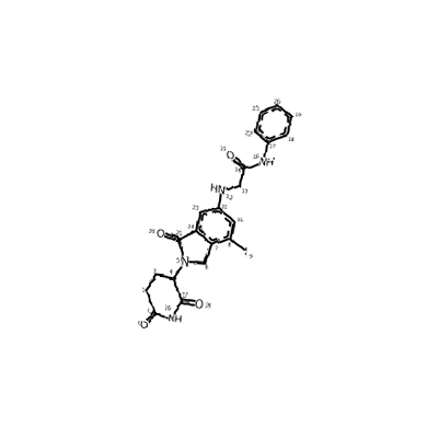 O=C1CCC(N2Cc3c(I)cc(NCC(=O)Nc4ccccc4)cc3C2=O)C(=O)N1